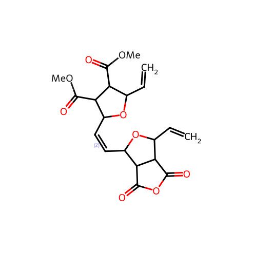 C=CC1OC(/C=C\C2OC(C=C)C3C(=O)OC(=O)C23)C(C(=O)OC)C1C(=O)OC